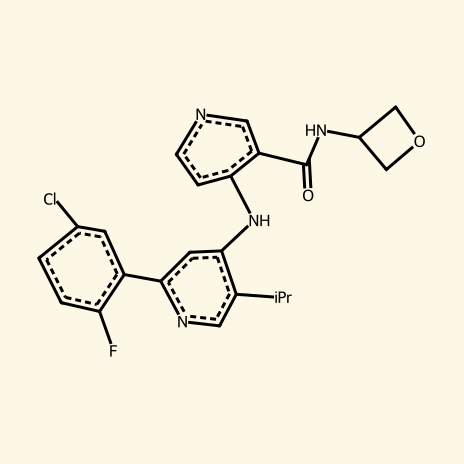 CC(C)c1cnc(-c2cc(Cl)ccc2F)cc1Nc1ccncc1C(=O)NC1COC1